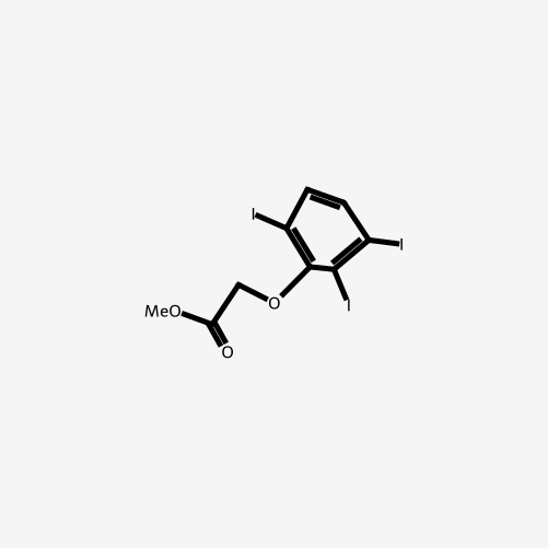 COC(=O)COc1c(I)ccc(I)c1I